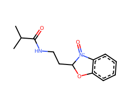 CC(C)C(=O)NCCC1Oc2ccccc2[N+]1=O